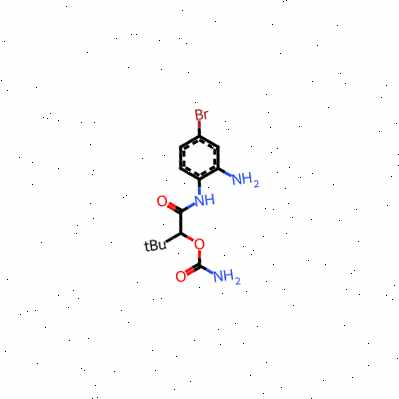 CC(C)(C)C(OC(N)=O)C(=O)Nc1ccc(Br)cc1N